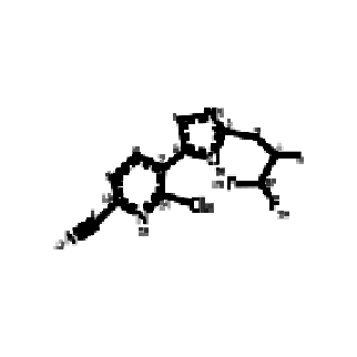 CC(Cc1ncc(-c2ccc(C#N)nc2Cl)o1)C(F)F